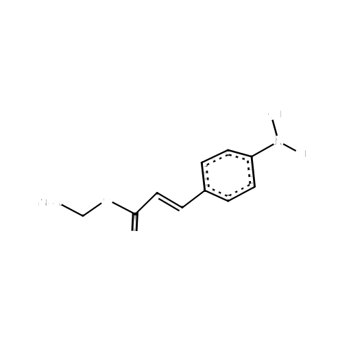 CCCCCCCCCCOC(=O)/C=C/c1ccc(N(C)C)cc1